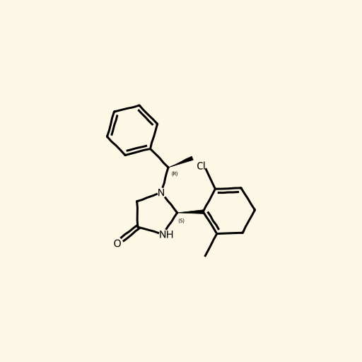 CC1=C([C@H]2NC(=O)CN2[C@H](C)c2ccccc2)C(Cl)=CCC1